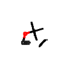 CC(C)(C)O[C]=O.[CH2]C